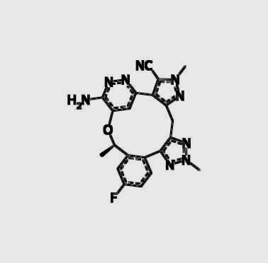 C[C@H]1Oc2cc(nnc2N)-c2c(nn(C)c2C#N)Cc2nn(C)nc2-c2ccc(F)cc21